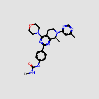 CCNC(=O)Nc1ccc(-c2nc3c(c(N4CCOCC4)n2)CCN(c2cc(C)ncn2)[C@H]3C)cc1